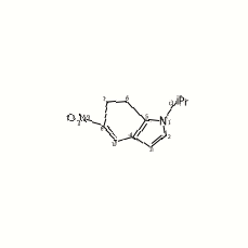 CC(C)n1ccc2c1CCC([N+](=O)[O-])=C2